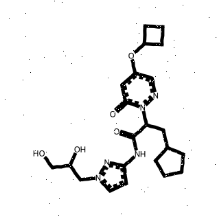 O=C(Nc1ccn(CC(O)CO)n1)C(CC1CCCC1)n1ncc(OC2CCC2)cc1=O